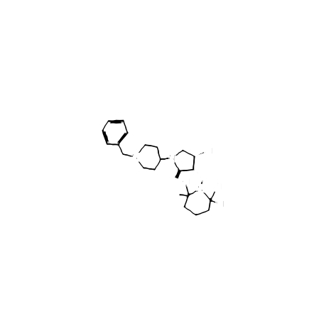 C[C@@H]1CN(C2CCN(Cc3ccccc3)CC2)C(=O)[C@H]1ON1C(C)(C)CCCC1(C)C